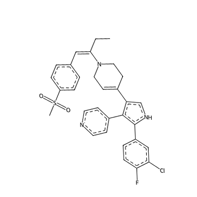 CCC(=Cc1ccc(S(C)(=O)=O)cc1)N1CC=C(c2c[nH]c(-c3ccc(F)c(Cl)c3)c2-c2ccncc2)CC1